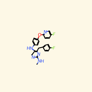 CNc1ncc(Nc2ccc(Oc3ccc(F)cn3)cc2)c(Cc2ccc(F)cc2)n1